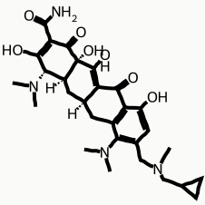 CN(Cc1cc(O)c2c(c1N(C)C)C[C@H]1C[C@H]3[C@H](N(C)C)C(O)=C(C(N)=O)C(=O)[C@@]3(O)C(O)=C1C2=O)CC1CC1